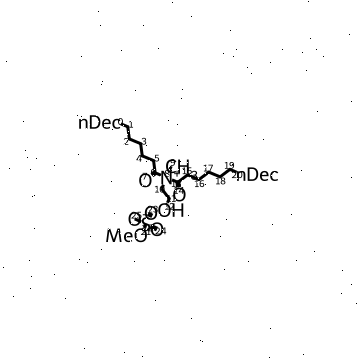 CCCCCCCCCCCCCCCC(=O)[N+](C)(CCO)C(=O)CCCCCCCCCCCCCCC.COS(=O)(=O)[O-]